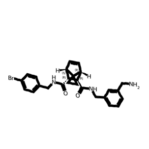 NCc1cccc(CNC(=O)[C@H]2[C@H](C(=O)NCc3ccc(Br)cc3)[C@@H]3C=C[C@H]2C32CC2)c1